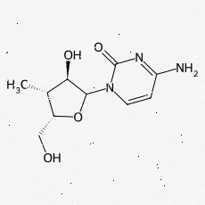 C[C@H]1[C@@H](CO)OC(n2ccc(N)nc2=O)[C@@H]1O